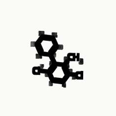 Cc1c(Cl)ccc(Cl)c1-c1ccccc1